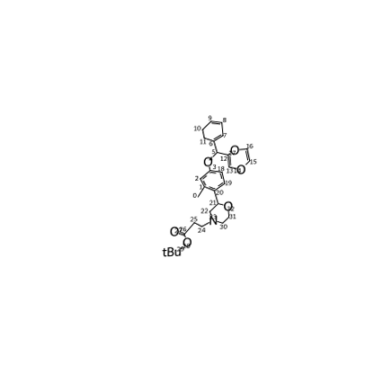 Cc1cc(OC(C2=CC=CCC2)C2=COC=CO2)ccc1C1CN(CCC(=O)OC(C)(C)C)CCO1